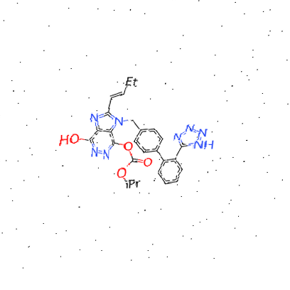 CCC=Cc1nc2c(O)nnc(OC(=O)OC(C)C)c2n1Cc1ccc(-c2ccccc2-c2nnn[nH]2)cc1